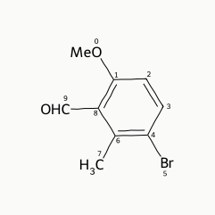 COc1ccc(Br)c(C)c1C=O